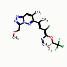 C=N/C(O[C@@H](C)C(F)(F)F)=C(F)\C=C(/C)c1nn2c(COC)nnc2cc1C